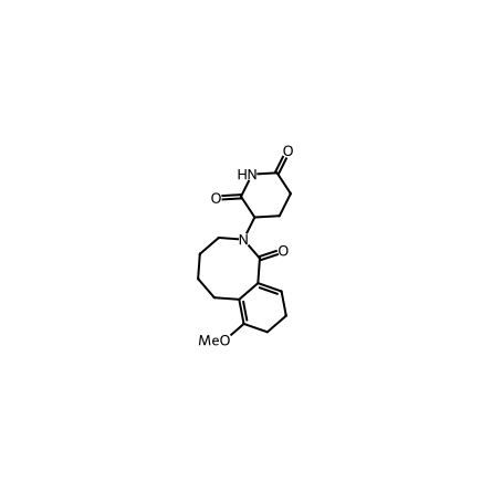 COC1=C2CCCCN(C3CCC(=O)NC3=O)C(=O)C2=CCC1